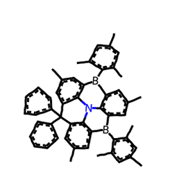 Cc1cc(C)c(B2c3cc(C)cc4c3N3c5c2cc(C)cc5C(c2ccccc2)(c2ccccc2)c2cc(C)cc(c23)B4c2c(C)cc(C)cc2C)c(C)c1